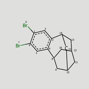 Brc1cc2c(cc1Br)C1CC3CC(CC2C3)C1